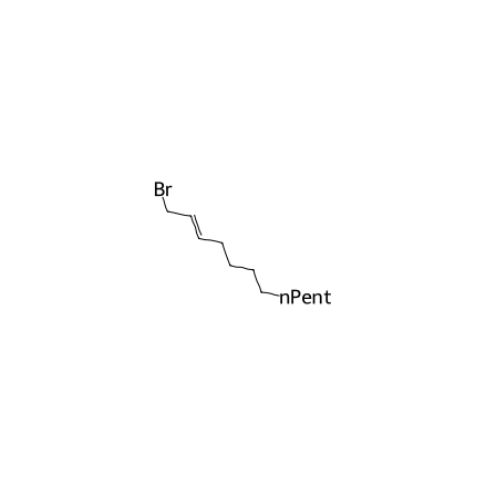 CCCCCCCCCC=CCBr